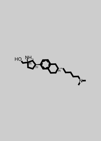 CN(C)CCCCC[C@@H]1CCc2cc([C@H]3CC[C@](N)(CO)C3)ccc2C1